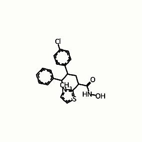 CC(c1ccccc1)C(CC(C(=O)NO)c1nccs1)c1ccc(Cl)cc1